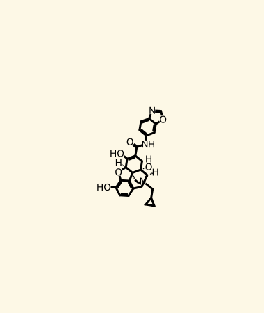 O=C(Nc1ccc2ncoc2c1)C1=C(O)[C@@H]2Oc3c(O)ccc4c3[C@@]23CCN(CC2CC2)[C@H](C4)[C@]3(O)C1